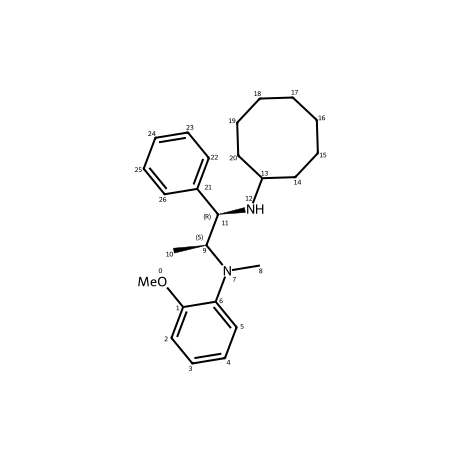 COc1ccccc1N(C)[C@@H](C)[C@H](NC1CCCCCCC1)c1ccccc1